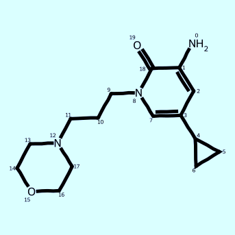 Nc1cc(C2CC2)cn(CCCN2CCOCC2)c1=O